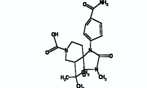 CN1C(=O)N(c2ccc(C(N)=O)cc2)C2(CCN(C(=O)O)CC2C(C)(C)C)C1=O